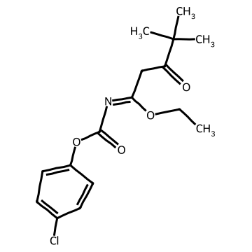 CCO/C(CC(=O)C(C)(C)C)=N\C(=O)Oc1ccc(Cl)cc1